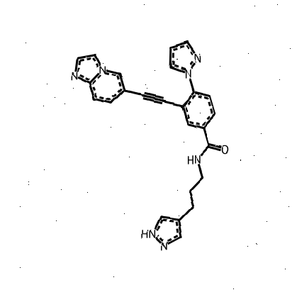 O=C(NCCCc1cn[nH]c1)c1ccc(-n2cccn2)c(C#Cc2ccc3nccn3c2)c1